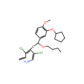 C=C/C(Cl)=C(CC(OCCCC)c1ccc(OC)c(OC2CCCC2)c1)\C(Cl)=C/N